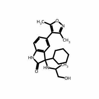 Cc1noc(C)c1-c1ccc2c(c1)C(NC(C)CO)(C1CCCCC1)C(=O)N2